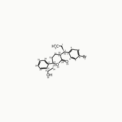 CC[C@@H](c1ccc(Br)cc1)N1CC[C@](CCO)(c2ccccc2)OC1=O